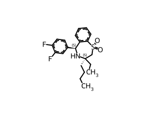 CCCC[C@@]1(CC)CS(=O)(=O)c2ccccc2[C@H](c2ccc(F)c(F)c2)N1